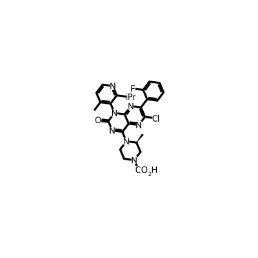 Cc1ccnc(C(C)C)c1-n1c(=O)nc(N2CCN(C(=O)O)C[C@@H]2C)c2nc(Cl)c(-c3ccccc3F)nc21